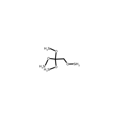 [SiH3]OCC(O[SiH3])(O[SiH3])O[SiH3]